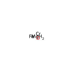 [Fe].[MgH2].[O]=[Cr]